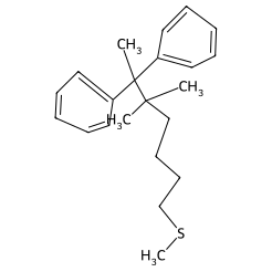 CSCCCCC(C)(C)C(C)(c1ccccc1)c1ccccc1